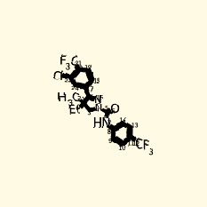 CCC1(C)CN(C(=O)Nc2ccc(C(F)(F)F)cc2)N=C1c1ccc(C(F)(F)F)c(Cl)c1